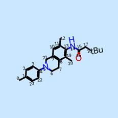 Cc1ccc(N2CCc3c(cc(C)c(NC(=O)CC(C)(C)C)c3C)C2)cc1